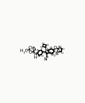 CC(C)OC(=O)Nc1ccc(-c2c(C#N)c3ccc(Oc4nccn4C)cc3n2C2CCC2)cc1